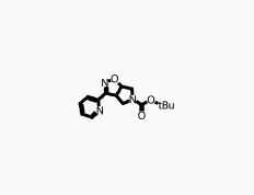 CC(C)(C)OC(=O)N1CC2ON=C(c3ccccn3)C2C1